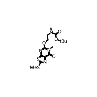 CSc1nc2c(=O)n(C)c(OCCN(C)C(=O)OC(C)(C)C)nc2s1